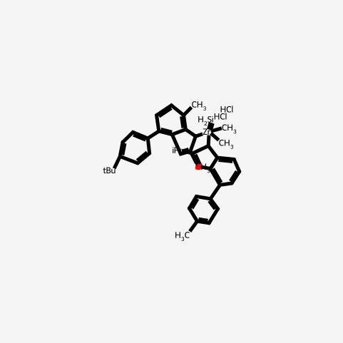 CC1=Cc2c(-c3ccc(C(C)(C)C)cc3)ccc(C)c2[CH]1[Zr]([CH3])([CH3])(=[SiH2])[CH]1C(C(C)C)=Cc2c(-c3ccc(C)cc3)cccc21.Cl.Cl